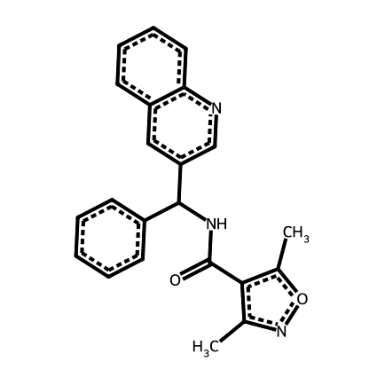 Cc1noc(C)c1C(=O)NC(c1ccccc1)c1cnc2ccccc2c1